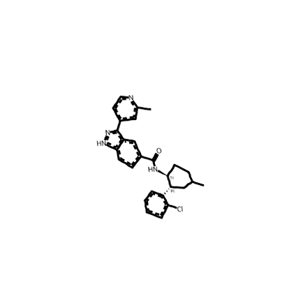 Cc1cc(-c2n[nH]c3ccc(C(=O)N[C@H]4CCC(C)C[C@@H]4c4ccccc4Cl)cc23)ccn1